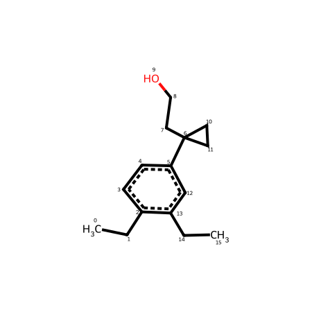 CCc1ccc(C2(CCO)CC2)cc1CC